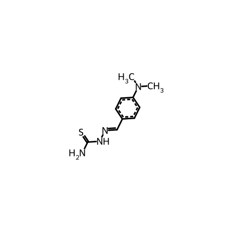 CN(C)c1ccc(/C=N/NC(N)=S)cc1